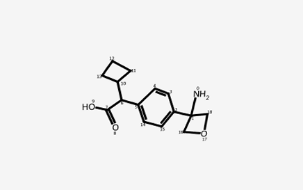 NC1(c2ccc(C(C(=O)O)C3CCC3)cc2)COC1